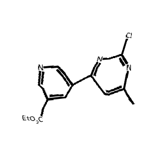 CCOC(=O)c1cncc(-c2cc(C)nc(Cl)n2)c1